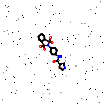 O=C(Nc1ccc(N2S(=O)(=O)c3ccccc3S2(=O)=O)cc1)c1cncs1